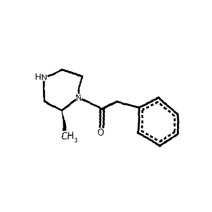 C[C@H]1CNCCN1C(=O)Cc1ccccc1